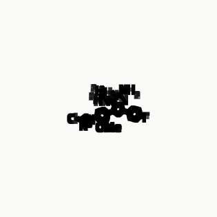 [2H]C([2H])([2H])Nc1nc(N)nc2c1C(c1ccc(-n3cnc(Cl)c3)c(OC)c1)CC2c1ccc(F)cc1